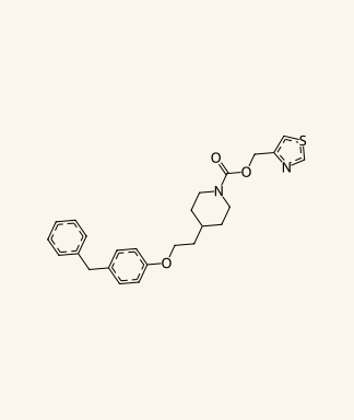 O=C(OCc1cscn1)N1CCC(CCOc2ccc(Cc3ccccc3)cc2)CC1